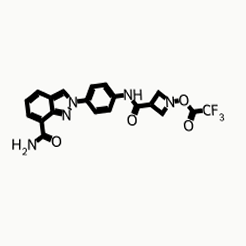 NC(=O)c1cccc2cn(-c3ccc(NC(=O)C4CN(OC(=O)C(F)(F)F)C4)cc3)nc12